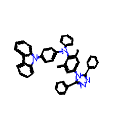 Cc1cc(-n2c(-c3ccccc3)nnc2-c2ccccc2)cc(C)c1N(c1ccccc1)c1ccc(-n2c3ccccc3c3ccccc32)cc1